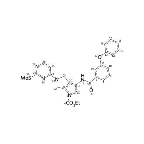 CCOC(=O)n1nc(NC(=O)c2cccc(Oc3ccccc3)c2)c2c1CN(c1ccnc(SC)n1)C2